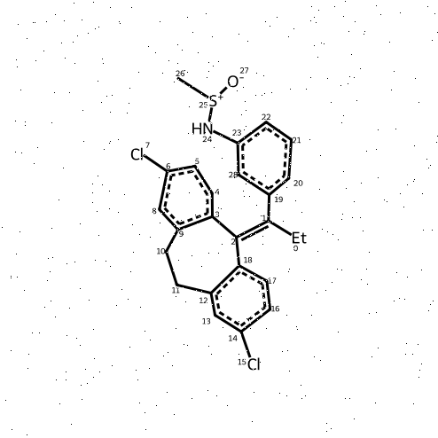 CCC(=C1c2ccc(Cl)cc2CCc2cc(Cl)ccc21)c1cccc(N[S+](C)[O-])c1